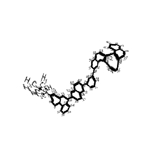 CC(C)(C)[Si](C)(C)c1ccc2c(c1)cc(-c1ccc3cc(-c4cccc(-c5ccc6ccc7c(ccc8ccc9ccccc9c87)c6c5)c4)ccc3c1)c1ccccc12